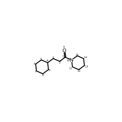 O=C([CH]CC1CCCCC1)N1CCCCC1